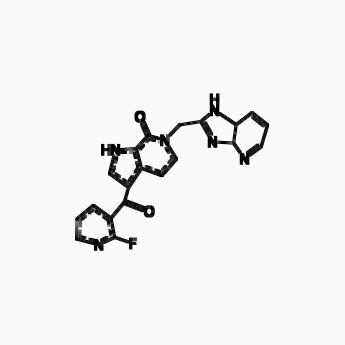 O=C(c1cccnc1F)c1c[nH]c2c(=O)n(CC3=NC4N=CC=CC4N3)ccc12